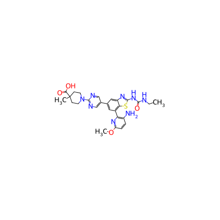 CCNC(=O)Nc1nc2cc(-c3cnc(N4CCC(C)(C(=O)O)CC4)nc3)cc(-c3nc(OC)ccc3N)c2s1